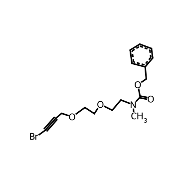 CN(CCOCCOCC#CBr)C(=O)OCc1ccccc1